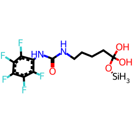 O=C(NCCCCC(O)(O)O[SiH3])Nc1c(F)c(F)c(F)c(F)c1F